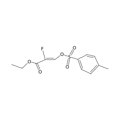 CCOC(=O)C(F)=COS(=O)(=O)c1ccc(C)cc1